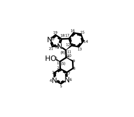 O[C@@H]1c2cncnc2CC[C@@H]1[C@@H]1c2ccccc2-c2cncn21